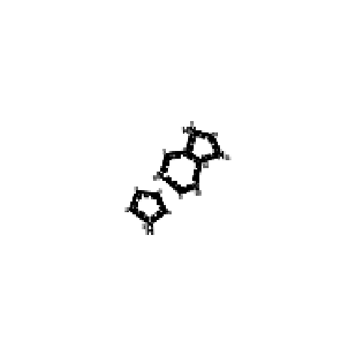 c1cc[nH]c1.c1ncc2[nH]cnc2n1